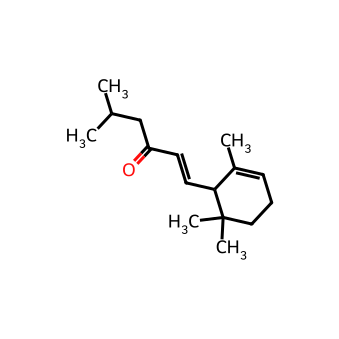 CC1=CCCC(C)(C)C1C=CC(=O)CC(C)C